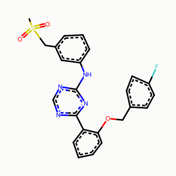 CS(=O)(=O)Cc1cccc(Nc2ncnc(-c3ccccc3OCc3ccc(F)cc3)n2)c1